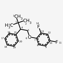 CC(C)(C)C(COc1ccc(F)cc1F)c1ccccc1